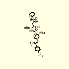 C=CN(/C=C(\N)c1ccc(C(F)(F)F)cc1)C[C@@H](OC(=O)N[C@@H](CCCC)[C@@H](O)CNS(=O)(=O)c1ccccn1)C(C)(C)C